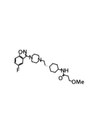 COCCC(=O)N[C@H]1CC[C@H](CCN2CCN(c3noc4ccc(F)cc34)CC2)CC1